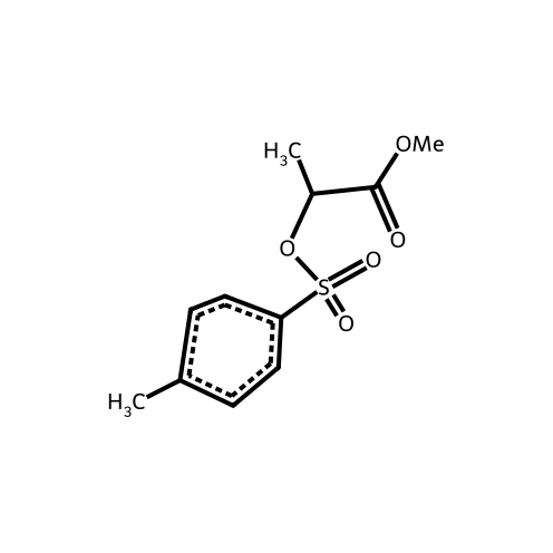 COC(=O)C(C)OS(=O)(=O)c1ccc(C)cc1